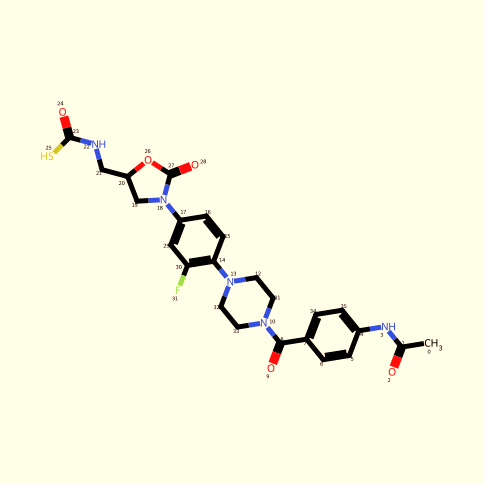 CC(=O)Nc1ccc(C(=O)N2CCN(c3ccc(N4CC(CNC(=O)S)OC4=O)cc3F)CC2)cc1